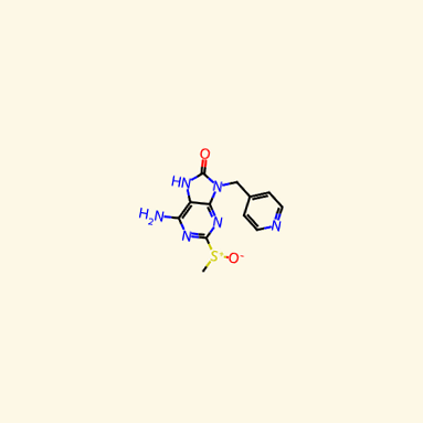 C[S+]([O-])c1nc(N)c2[nH]c(=O)n(Cc3ccncc3)c2n1